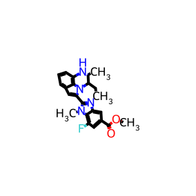 CCC1C(C)Nc2cccc3cc(-c4nc5cc(C(=O)OC)cc(F)c5n4C)n1c23